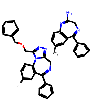 FC(F)(F)c1ccc2c(c1)C(c1ccccc1)=NCc1nnc(COCc3ccccc3)n1-2.NC1=Nc2ccc(C(F)(F)F)cc2C(c2ccccc2)=NC1